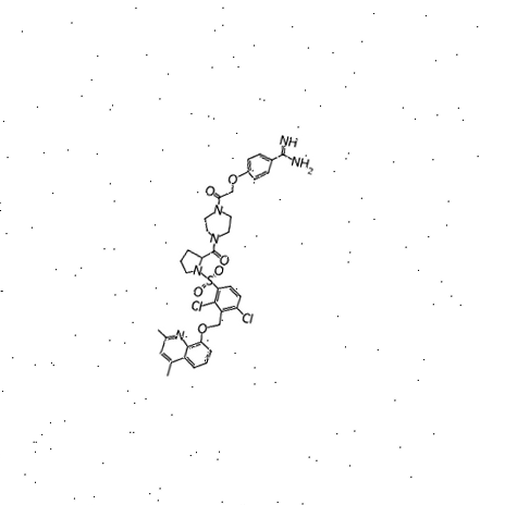 Cc1cc(C)c2cccc(OCc3c(Cl)ccc(S(=O)(=O)N4CCCC4C(=O)N4CCN(C(=O)COc5ccc(C(=N)N)cc5)CC4)c3Cl)c2n1